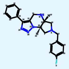 Fc1ccc(CN2C[C@@H]3[C@@H](C2)NCc2c(-c4ccccc4)nnn23)cc1